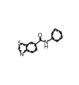 O=C(Nc1ccccc1)c1ccc2n[c]sc2c1